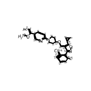 CC(=O)/C=C(\ON)c1ccc(N2CCC(OCc3c(-c4c(Cl)cccc4Cl)noc3C3CC3)CC2)nc1